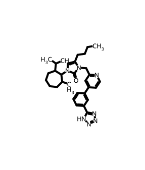 CCCCc1cn(C2C(C)CCCCC2C(C)C)c(=O)n1Cc1cc(-c2cccc(-c3nnn[nH]3)c2)ccn1